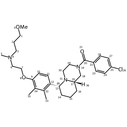 COCCCN(C)CCOc1ccc([C@H]2CCC[C@H]3CN(C(=O)c4ccc(Cl)cc4)CCN32)c(C)c1C